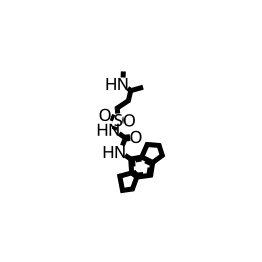 CNC(C)CCS(=O)(=O)NC(=O)Nc1c2c(cc3c1CCC3)CCC2